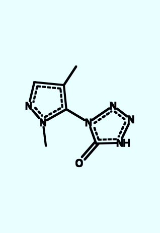 Cc1cnn(C)c1-n1nn[nH]c1=O